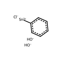 [Cl-].[OH-].[OH-].[Sn+3][c]1ccccc1